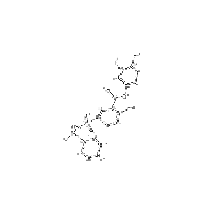 CC(NS(=O)(=O)c1ccc(F)c(C(=O)Nc2ccc(F)c(F)c2)c1)c1ccncc1